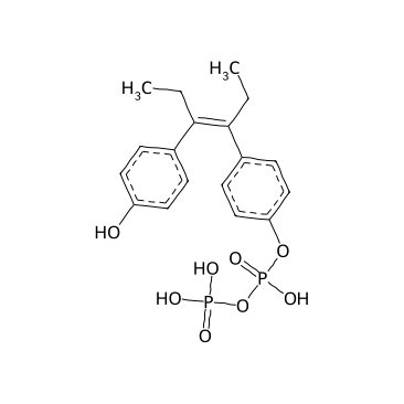 CCC(=C(CC)c1ccc(OP(=O)(O)OP(=O)(O)O)cc1)c1ccc(O)cc1